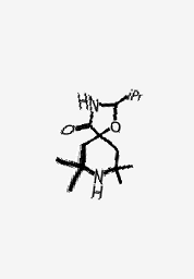 CC(C)C1NC(=O)C2(CC(C)(C)NC(C)(C)C2)O1